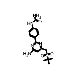 CC(C)(C)S(=O)(=O)Cc1cc(N)nc(-c2ccc(NC(N)=O)cc2)n1